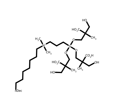 CCCCCCCCCCCCCCCCC[N+](C)(C)CCC[Si](OCC(C)(CO)C(=O)O)(OCC(C)(CO)C(=O)O)OCC(C)(CO)C(=O)O